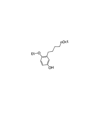 CCCCCCCCCCCCc1cc(O)ccc1OCC